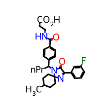 CCCC(c1ccc(C(=O)NCCC(=O)O)cc1)N1C(=O)C(c2cccc(F)c2)=NC12CCC(C)CC2